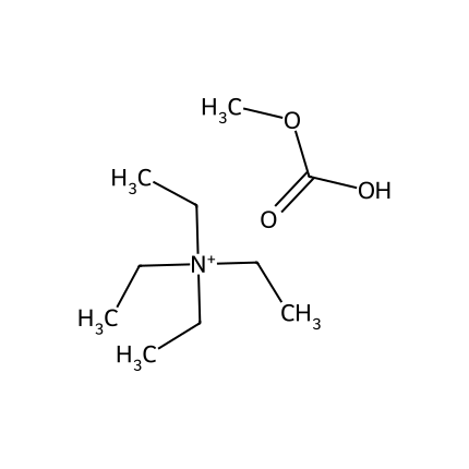 CC[N+](CC)(CC)CC.COC(=O)O